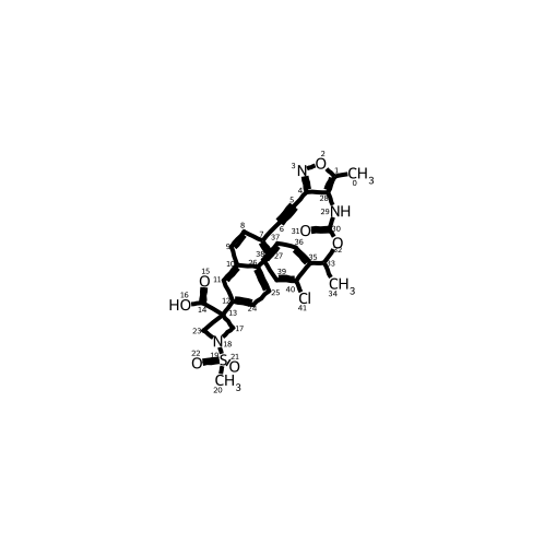 Cc1onc(C#Cc2ccc3cc(C4(C(=O)O)CN(S(C)(=O)=O)C4)ccc3c2)c1NC(=O)OC(C)c1ccccc1Cl